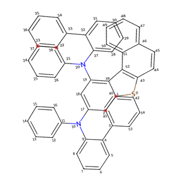 c1ccc(-c2ccccc2N(c2ccccc2)c2cc(N(c3ccccc3)c3ccccc3-c3ccccc3)c3c(c2)sc2ccc4ccccc4c23)cc1